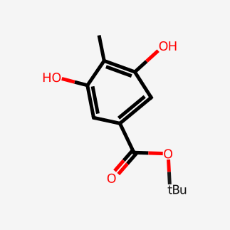 Cc1c(O)cc(C(=O)OC(C)(C)C)cc1O